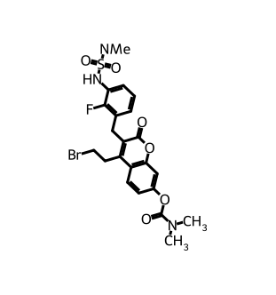 CNS(=O)(=O)Nc1cccc(Cc2c(CCBr)c3ccc(OC(=O)N(C)C)cc3oc2=O)c1F